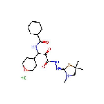 CN1CC(C)(C)S/C1=N\NC(=O)C(=O)C(NC(=O)C1CCCCC1)C1CCOCC1.Cl